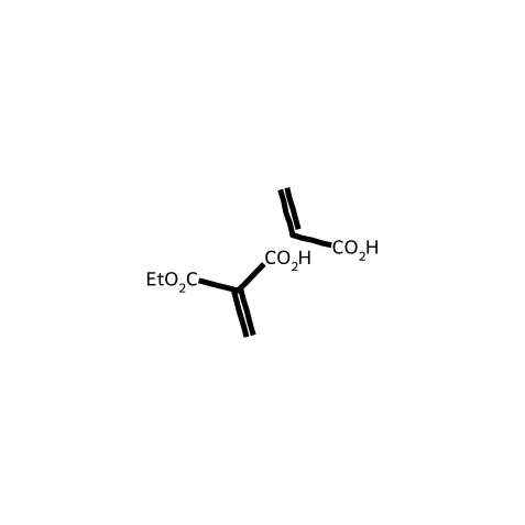 C=C(C(=O)O)C(=O)OCC.C=CC(=O)O